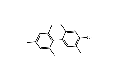 Cc1cc(C)c(-c2cc(C)c([O])cc2C)c(C)c1